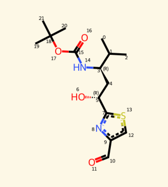 CC(C)[C@@H](C[C@@H](O)c1nc(C=O)cs1)NC(=O)OC(C)(C)C